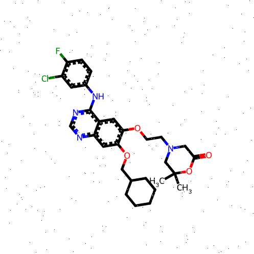 CC1(C)CN(CCOc2cc3c(Nc4ccc(F)c(Cl)c4)ncnc3cc2OCC2CCCCC2)CC(=O)O1